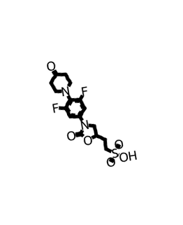 O=C1CCN(c2c(F)cc(N3CC(CCS(=O)(=O)O)OC3=O)cc2F)CC1